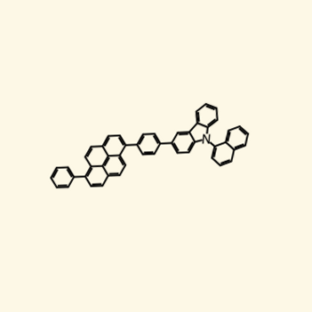 c1ccc(-c2ccc3ccc4c(-c5ccc(-c6ccc7c(c6)c6ccccc6n7-c6cccc7ccccc67)cc5)ccc5ccc2c3c54)cc1